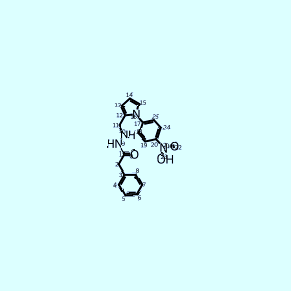 O=C(Cc1ccccc1)NNCc1cccn1-c1ccc([N+](=O)O)cc1